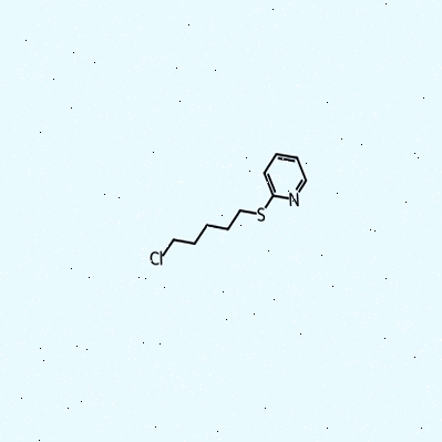 ClCCCCCSc1ccccn1